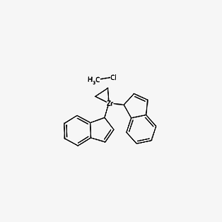 C1=C[CH]([Zr]2([CH]3C=Cc4ccccc43)[CH2][CH2]2)c2ccccc21.CCl